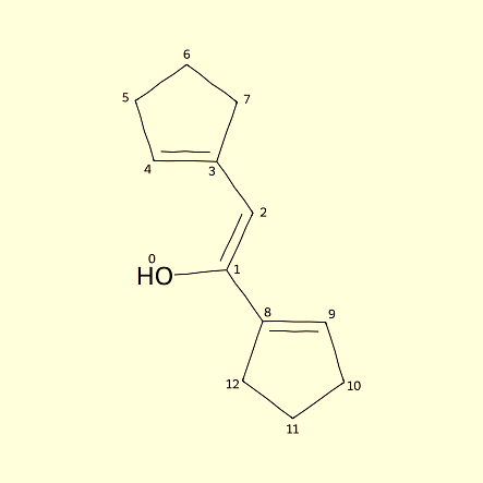 OC(=CC1=CCCC1)C1=CCCC1